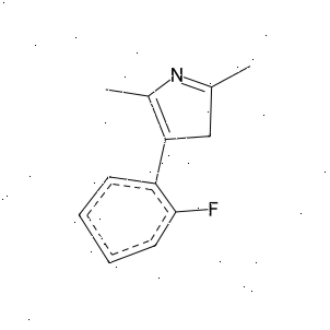 CC1=NC(C)=C(c2ccccc2F)C1